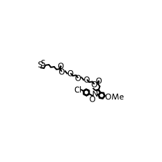 COc1ccc2c(c1)c(CC(=O)OCCOCCOCCOCCOC(=O)CCCCC1CCSS1)c(C)n2C(=O)c1ccc(Cl)cc1